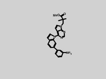 COC(=O)C(C)(C)Cn1ccc2c(-n3ccc4ccc(-c5cccc(N)c5)cc43)ncnc21